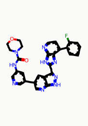 O=C(Nc1cncc(-c2cnc3[nH]nc(-c4nc5c(-c6ccccc6F)ccnc5[nH]4)c3c2)c1)N1CCOCC1